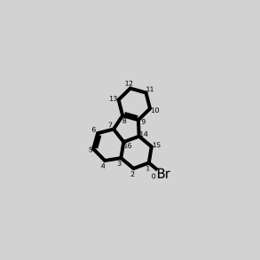 BrC1CC2CC=CC3C4=C(CCCC4)C(C1)C23